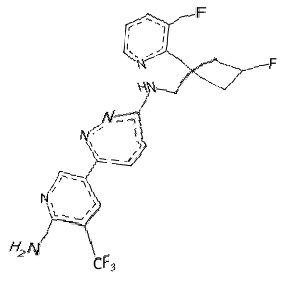 Nc1ncc(-c2ccc(NCC3(c4ncccc4F)CC(F)C3)nn2)cc1C(F)(F)F